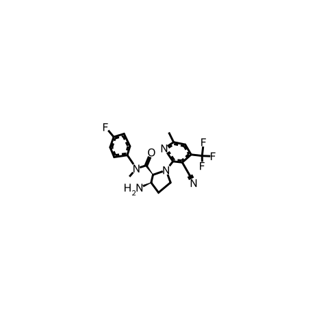 Cc1cc(C(F)(F)F)c(C#N)c(N2CC[C@@H](N)[C@H]2C(=O)N(C)c2ccc(F)cc2)n1